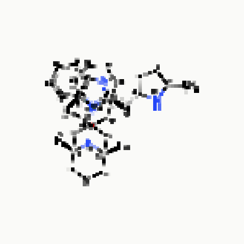 C=C1CC[C@@H](Cc2nc3ccccc3n2[C@H]2C[C@H]3CCC[C@@H](C2)N3[C@@H]2C[C@@H]3CCCC[C@@H](C3)C2)N1